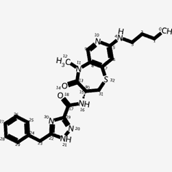 CCCCNc1cc2c(cn1)N(C)C(=O)[C@@H](NC(=O)c1n[nH]c(Cc3ccccc3)n1)CS2